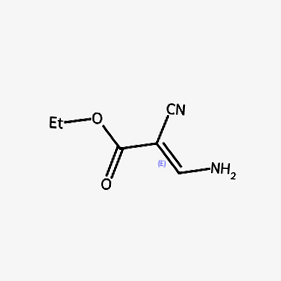 CCOC(=O)/C(C#N)=C/N